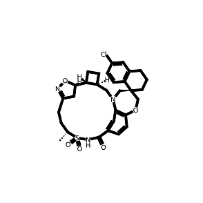 C[C@@H]1CCC2=NO[C@H](C2)[C@@H]2CC[C@H]2CN2C[C@@]3(CCCc4cc(Cl)ccc43)COc3ccc(cc32)C(=O)NS1(=O)=O